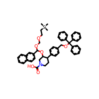 C[Si](C)(C)CCOCOC(OC1CN(C(=O)O)CCC1c1ccc(COC(c2ccccc2)(c2ccccc2)c2ccccc2)cc1)c1ccc2ccccc2c1